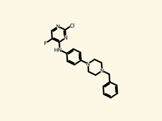 Fc1cnc(Cl)nc1Nc1ccc(N2CCN(Cc3ccccc3)CC2)cc1